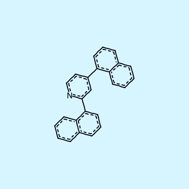 c1ccc2c(-c3ccnc(-c4cccc5ccccc45)c3)cccc2c1